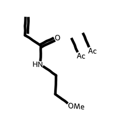 C=CC(=O)NCCOC.CC(C)=O.CC(C)=O